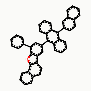 c1ccc(-c2cc(-c3c4ccccc4c(-c4ccc5ccccc5c4)c4ccccc34)cc3c2oc2c4ccccc4ccc32)cc1